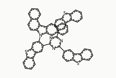 c1ccc2cc3c(cc2c1)c1c2ccccc2ccc1n3-c1cc2sc3ccccc3c2cc1-c1nc(-c2ccc3sc4ccccc4c3c2)nc(-c2ccc3sc4ccccc4c3c2)n1